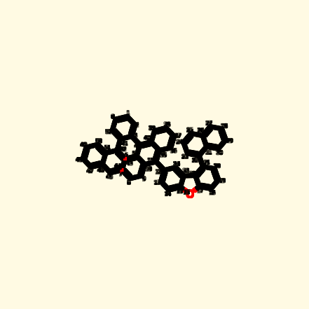 c1ccc(-c2c3ccccc3c(-c3ccc4oc5cccc(-c6cccc7ccccc67)c5c4c3)c3ccccc23)c(-c2cccc3ccccc23)c1